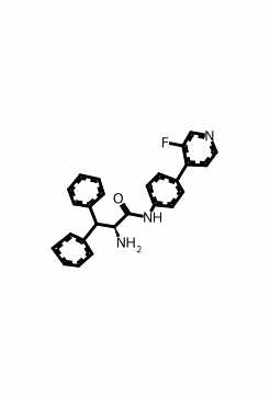 N[C@H](C(=O)Nc1ccc(-c2ccncc2F)cc1)C(c1ccccc1)c1ccccc1